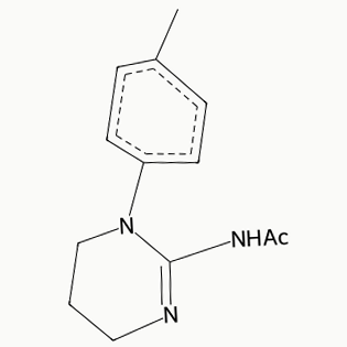 CC(=O)NC1=NCCCN1c1ccc(C)cc1